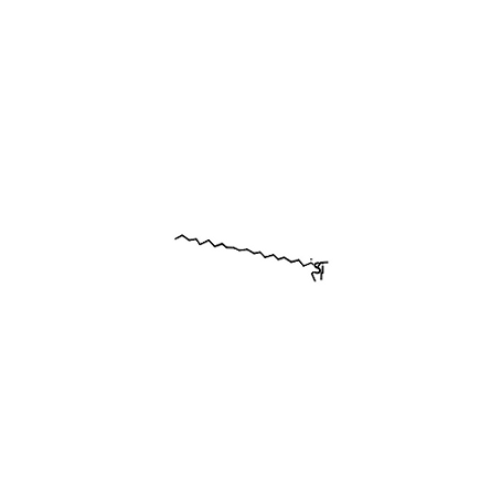 CCCCCCCCCCCCCCCCCCCCC[CH][Si](CC)(CC)CC